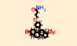 C[C@]12CCC(=O)C[C@@H]1CC[C@@H]1[C@@H]2[C@@H](c2ccc(OCCCC(N)=O)cc2)C[C@]2(C)[C@@H](O)CC[C@@H]12